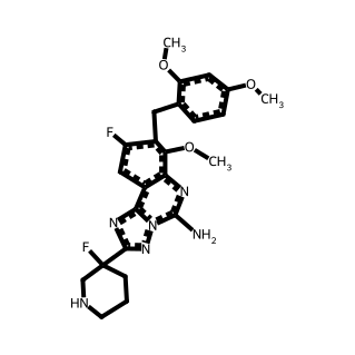 COc1ccc(Cc2c(F)cc3c(nc(N)n4nc(C5(F)CCCNC5)nc34)c2OC)c(OC)c1